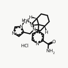 COC1(c2ccnc(C(N)=O)c2)[C@@H]2CCC[C@H]1CN(Cc1cncn1C)C2.Cl